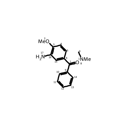 CNC.COc1ccc(C(=O)c2ccccc2)cc1N